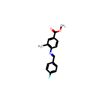 COC(=O)c1ccc(N=Cc2ccc(F)cc2)c(C)c1